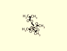 C=C(C)C(=O)OCC[Si](OC(C)=O)(OC(C)=O)OC(C)=O